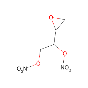 O=[N+]([O-])OCC(O[N+](=O)[O-])C1CO1